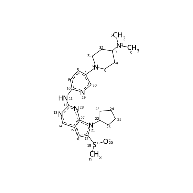 CN(C)C1CCN(c2ccc(Nc3ncc4cc([S+](C)[O-])n(C5CCCC5)c4n3)nc2)CC1